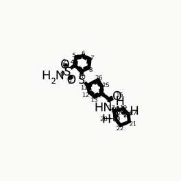 NS(=O)(=O)c1ccccc1Sc1ccc(C(=O)N[C@@H]2C[C@H]3CC[C@@H]2N3)cc1